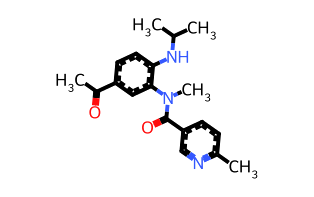 CC(=O)c1ccc(NC(C)C)c(N(C)C(=O)c2ccc(C)nc2)c1